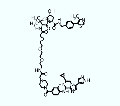 Cc1ncsc1-c1ccc(CNC(=O)[C@H]2C[C@H](O)CN2C(=O)[C@@H](NC(=O)COCCOCCOCCNC(=O)CN2CCN(C(=O)c3ccc(Nc4nc(C5CC5)cn5c(-c6cn[nH]c6)cnc45)c(F)c3)CC2)C(C)(C)C)cc1